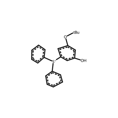 CC(C)(C)Oc1cc(O)cc([S+](c2ccccc2)c2ccccc2)c1